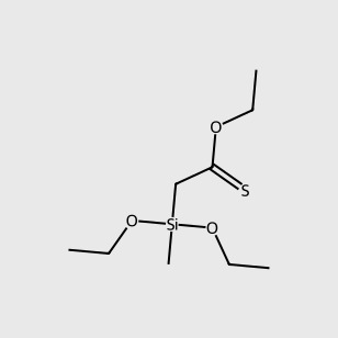 CCOC(=S)C[Si](C)(OCC)OCC